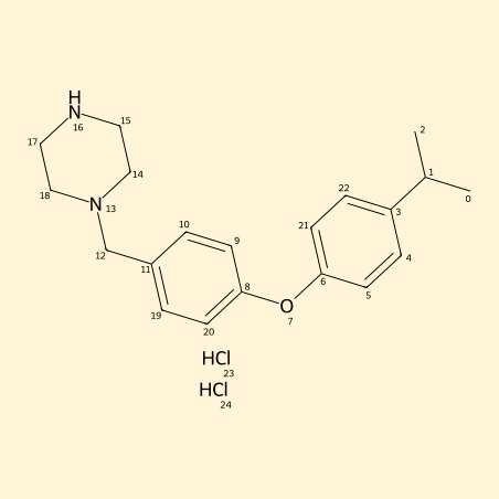 CC(C)c1ccc(Oc2ccc(CN3CCNCC3)cc2)cc1.Cl.Cl